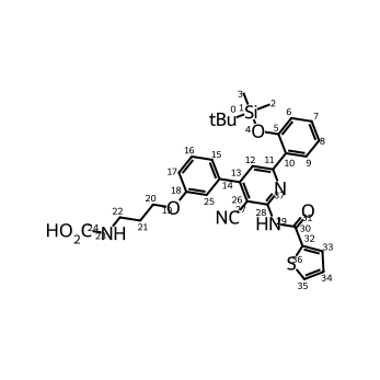 CC(C)(C)[Si](C)(C)Oc1ccccc1-c1cc(-c2cccc(OCCCNC(=O)O)c2)c(C#N)c(NC(=O)c2cccs2)n1